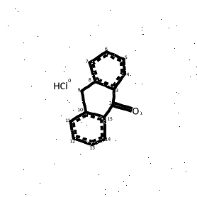 Cl.O=C1c2ccccc2Cc2ccccc21